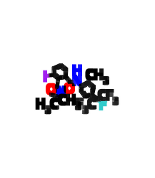 Cc1cc(C(F)(C(F)(F)F)C(F)(F)F)ccc1NC(=O)c1cccc(I)c1C1=NC(C)(C)CO1